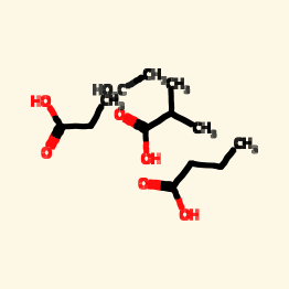 CC(=O)O.CC(C)C(=O)O.CCC(=O)O.CCCC(=O)O